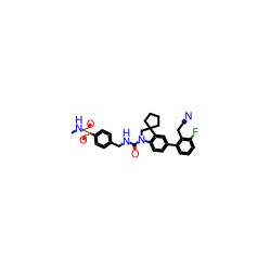 CNS(=O)(=O)c1ccc(CNC(=O)N2CC3(CCCC3)c3cc(-c4cccc(F)c4CC#N)ccc32)cc1